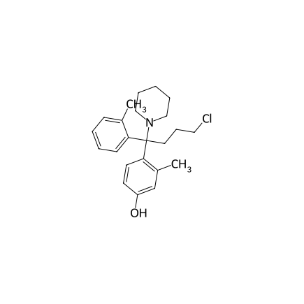 Cc1ccccc1C(CCCCl)(c1ccc(O)cc1C)N1CCCCC1